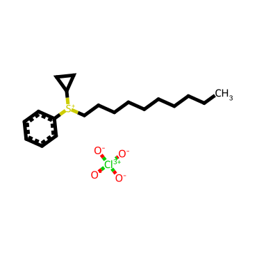 CCCCCCCCCC[S+](c1ccccc1)C1CC1.[O-][Cl+3]([O-])([O-])[O-]